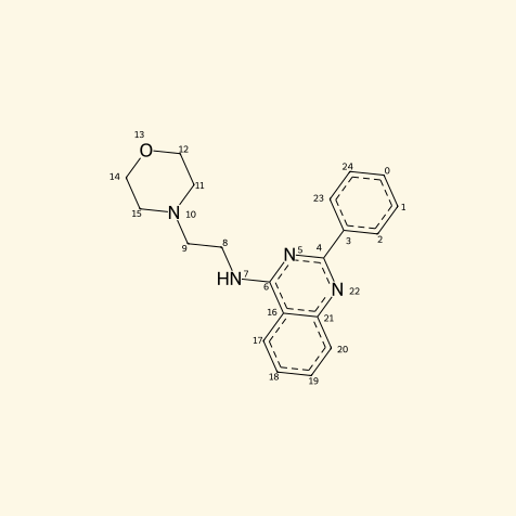 c1ccc(-c2nc(NCCN3CCOCC3)c3ccccc3n2)cc1